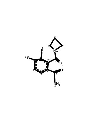 NC(=O)c1ccc(F)c(F)c1C(=O)N1CCC1